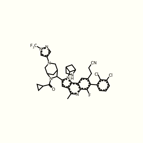 Cc1nc2c(F)c(-c3cccc(Cl)c3Cl)c(CCC#N)cc2c2c1cc(C1C3CC(CN(c4cnn(C(F)(F)F)c4)C3)N1C(=O)C1CC1)n2C1C2CNC1C2